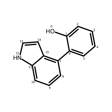 Oc1c[c]ccc1-c1cccc2[nH]ccc12